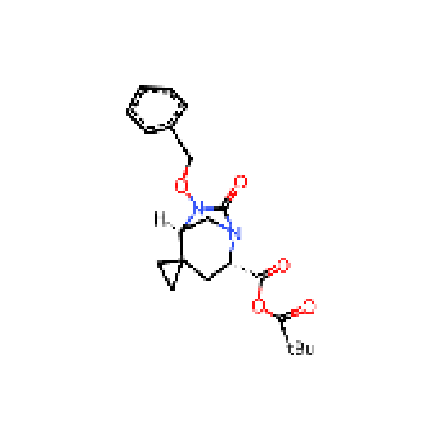 CC(C)(C)C(=O)OC(=O)[C@@H]1CC2(CC2)[C@@H]2CN1C(=O)N2OCc1ccccc1